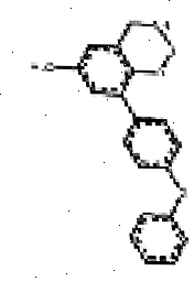 COc1cc2c(c(-c3ccc(Oc4ccccc4)cc3)c1)OSNC2